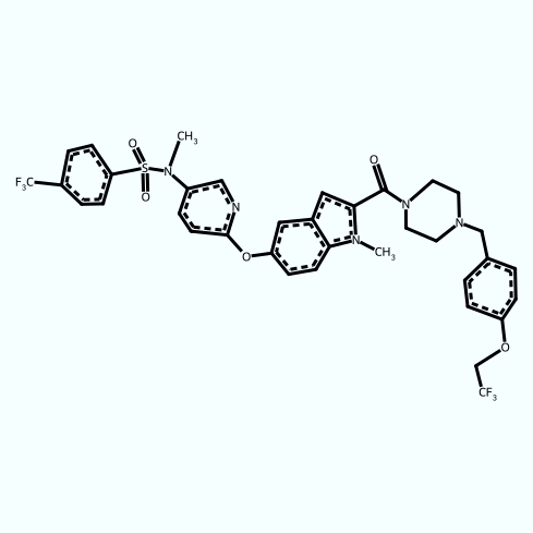 CN(c1ccc(Oc2ccc3c(c2)cc(C(=O)N2CCN(Cc4ccc(OCC(F)(F)F)cc4)CC2)n3C)nc1)S(=O)(=O)c1ccc(C(F)(F)F)cc1